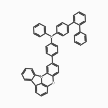 c1ccc(-c2ccccc2-c2ccc(N(c3ccccc3)c3ccc(-c4ccc5c(c4)-n4c6ccccc6c6cccc(c64)O5)cc3)cc2)cc1